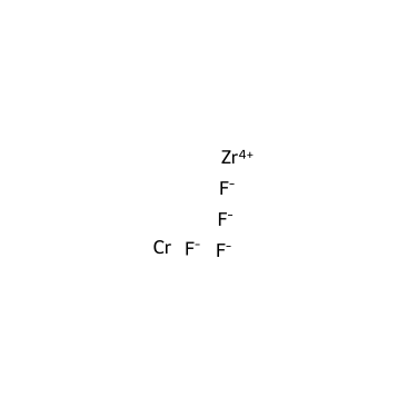 [Cr].[F-].[F-].[F-].[F-].[Zr+4]